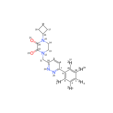 [2H]c1c([2H])c([2H])c(-c2ccc(CN3CCN(C4CCC4)C(=O)C3=O)nn2)c([2H])c1[2H]